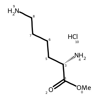 COC(=O)[C@@H](N)CCCCN.Cl